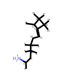 CC(N)CC(C)(C)C(C)(C)CC=C1C(C)C(C)(C)C1(C)C